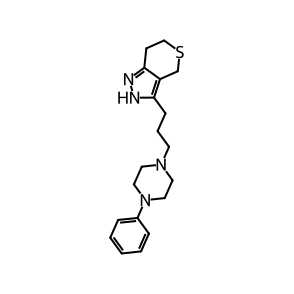 c1ccc(N2CCN(CCCc3[nH]nc4c3CSCC4)CC2)cc1